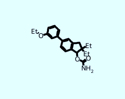 CCOc1cccc(-c2ccc3c(c2)CC(CC)(CC)C3OC(N)=O)c1